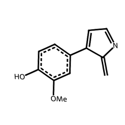 C=C1N=CC=C1c1ccc(O)c(OC)c1